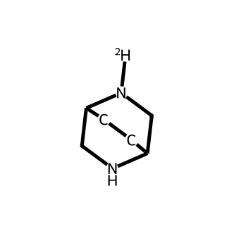 [2H]N1CC2CCC1CN2